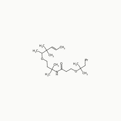 CC=CC(C)(C)C(C)OCCC(C)(C)NC(=O)CCOC(C)(C)CC(C)C